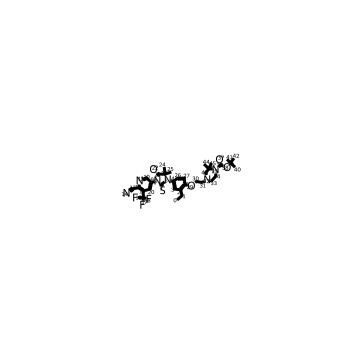 CCc1cc(N2C(=S)N(c3cnc(C#N)c(C(F)(F)F)c3)C(=O)C2(C)C)ccc1OCCN1CCN(C(=O)OC(C)(C)C)C(C)(C)C1